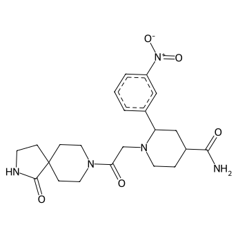 NC(=O)C1CCN(CC(=O)N2CCC3(CCNC3=O)CC2)C(c2cccc([N+](=O)[O-])c2)C1